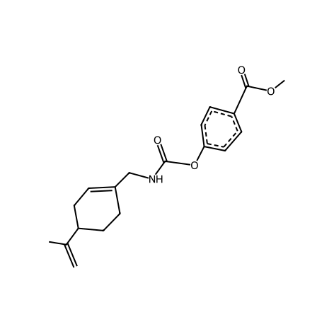 C=C(C)C1CC=C(CNC(=O)Oc2ccc(C(=O)OC)cc2)CC1